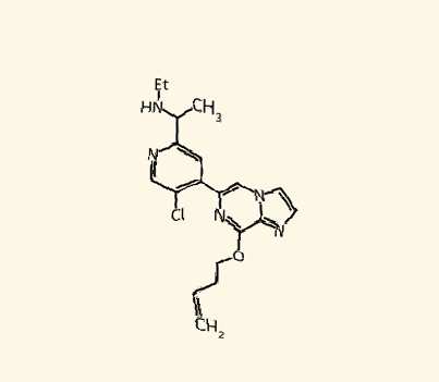 C=CCCOc1nc(-c2cc(C(C)NCC)ncc2Cl)cn2ccnc12